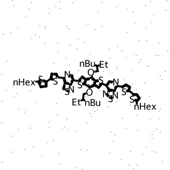 CCCCCCc1ccc(-c2ccc(-c3ncc(-c4cc5c(OCC(CC)CCCC)c6sc(-c7cnc(-c8ccc(-c9ccc(CCCCCC)s9)s8)c8nsnc78)cc6c(OCC(CC)CCCC)c5s4)c4nscc34)s2)s1